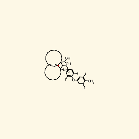 Cc1c(I)cc(Oc2c(I)cc(CC(C3(N)CCCCCCCCCCCC3)C3(C(O)O)CCCCCCCCCCCC3)cc2I)cc1I